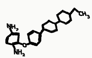 CCC1CCC(C2CCC(c3ccc(Oc4cc(N)ccc4N)cc3)CC2)CC1